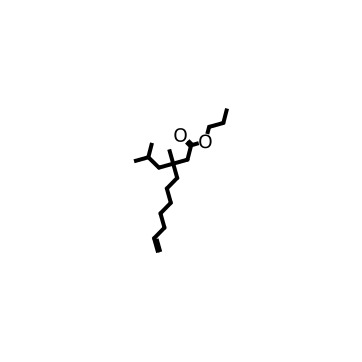 C=CCCCCCC(C)(CC(=O)OCCC)CC(C)C